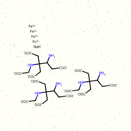 NC(CC(=O)[O-])C(CC(=O)[O-])(CC(=O)[O-])NCC(=O)[O-].NC(CC(=O)[O-])C(CC(=O)[O-])(CC(=O)[O-])NCC(=O)[O-].NC(CC(=O)[O-])C(CC(=O)[O-])(CC(=O)[O-])NCC(=O)[O-].[Fe+3].[Fe+3].[Fe+3].[Fe+3].[NaH]